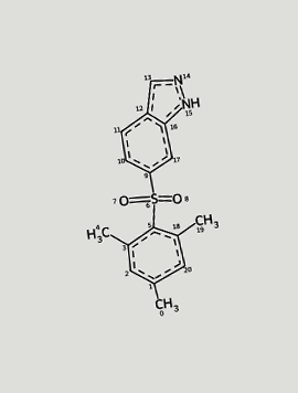 Cc1cc(C)c(S(=O)(=O)c2ccc3cn[nH]c3c2)c(C)c1